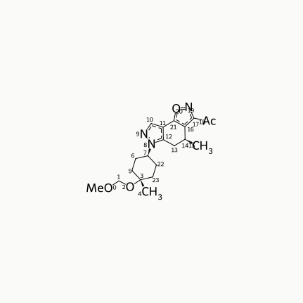 COCO[C@]1(C)CC[C@@H](n2ncc3c2C[C@H](C)c2c(C(C)=O)noc2-3)CC1